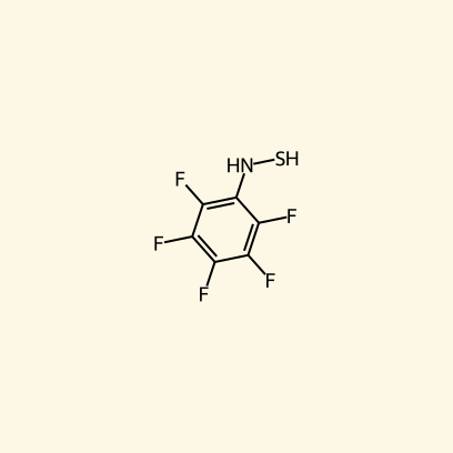 Fc1c(F)c(F)c(NS)c(F)c1F